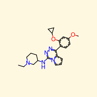 CCN1CCCC(Nc2nnc(-c3ccc(OC)cc3OC3CC3)c3cccn23)C1